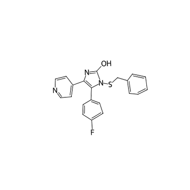 Oc1nc(-c2ccncc2)c(-c2ccc(F)cc2)n1SCc1ccccc1